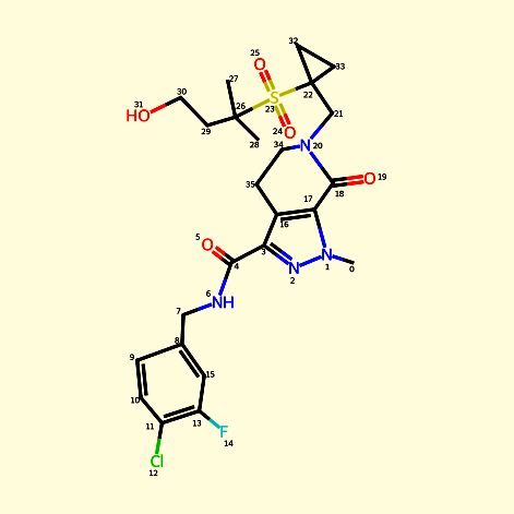 Cn1nc(C(=O)NCc2ccc(Cl)c(F)c2)c2c1C(=O)N(CC1(S(=O)(=O)C(C)(C)CCO)CC1)CC2